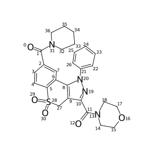 O=C(c1ccc2c(c1)-c1c(c(C(=O)N3CCOCC3)nn1-c1ccccc1)CS2(=O)=O)N1CCCCC1